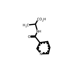 CC(NC(=O)c1cccnc1)C(=O)O